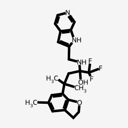 Cc1cc2c(c(C(C)(C)CC(O)(NCc3cc4ccncc4[nH]3)C(F)(F)F)c1)OCC2